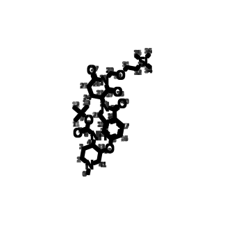 CN1CCC(NC(=O)OC(C)(C)C)C(Oc2ccc3c(c2)CN(C2CCC(=O)N(COCC[Si](C)(C)C)C2=O)C3=O)C1